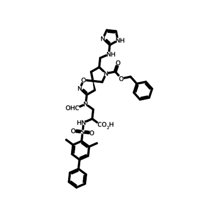 Cc1cc(-c2ccccc2)cc(C)c1S(=O)(=O)NC(CN(C=O)C1=NO[C@]2(C1)CC(CNc1ncc[nH]1)N(C(=O)OCc1ccccc1)C2)C(=O)O